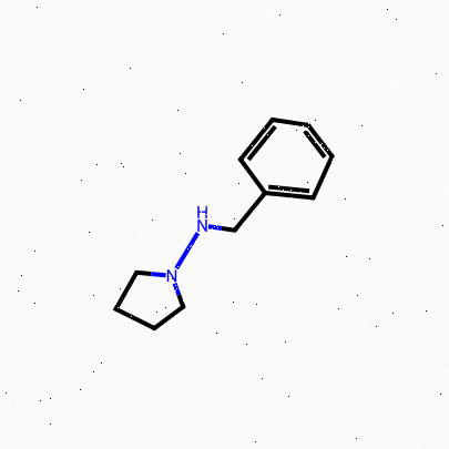 c1ccc(CNN2CCCC2)cc1